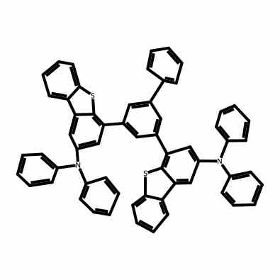 c1ccc(-c2cc(-c3cc(N(c4ccccc4)c4ccccc4)cc4c3sc3ccccc34)cc(-c3cc(N(c4ccccc4)c4ccccc4)cc4c3sc3ccccc34)c2)cc1